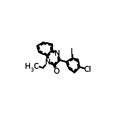 CCn1c(=O)c(-c2ccc(Cl)cc2I)nc2ccccc21